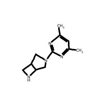 Cc1cc(C)nc(N2CC3CNC3C2)n1